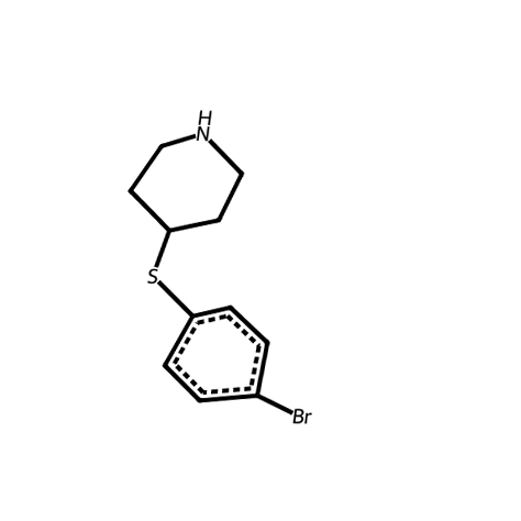 Brc1ccc(SC2CCNCC2)cc1